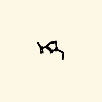 CCn1ccc(NC)n1